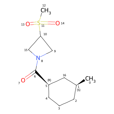 C[C@H]1CCC[C@@H](C(=O)N2CC(S(C)(=O)=O)C2)C1